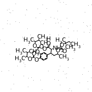 CCC(C)(C)OC(=O)OC(C)CC(c1ccc(OC(=O)OC(C)C(C)C)c(OC(=O)OC(C)C(C)C)c1)[C@H](N)C(=O)O